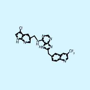 FC(F)(F)c1cnc2ccc(Cc3nc4ncnc(NCc5cnc6[nH]cc(Cl)c6c5)c4[nH]3)cc2c1